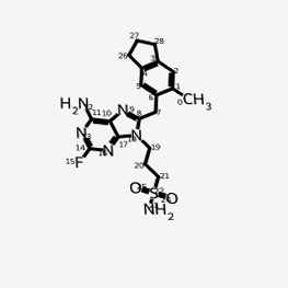 Cc1cc2c(cc1Cc1nc3c(N)nc(F)nc3n1CCCS(N)(=O)=O)CCC2